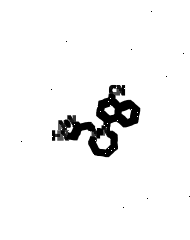 N#Cc1ccc(N2CCCCCN2Cc2c[nH]nn2)c2ccccc12